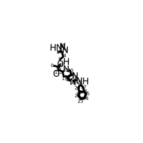 CC(OCCc1c[nH]nn1)C(=O)C1Cc2cnc(NC3Cc4ccccc4C3)nc2CN1